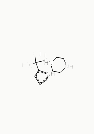 C1CNCCN1.CC(C)(C)c1ccc[nH]1